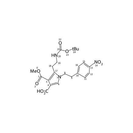 COC(=O)c1c(C(=O)O)cn(CCc2ccc([N+](=O)[O-])cc2)c1CCNC(=O)OC(C)(C)C